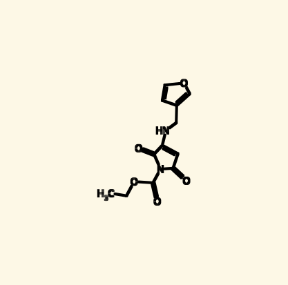 CCOC(=O)N1C(=O)C=C(NCc2ccoc2)C1=O